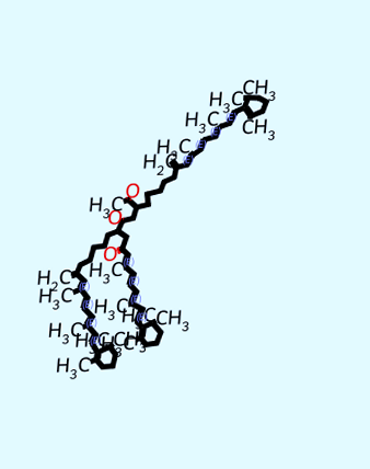 C=C(/C=C(C)/C=C/C=C(C)/C=C/C1=C(C)CCCC1(C)C)CCCCCC(CC(=O)C(CCCCCC(=C)/C=C(C)/C=C/C=C(C)/C=C/C1=C(C)CCCC1(C)C)CC(=O)/C=C(C)/C=C/C=C(C)/C=C/C1=C(C)CCCC1(C)C)C(C)=O